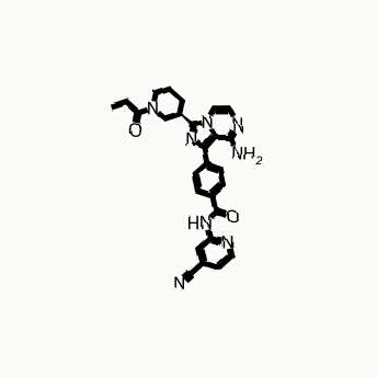 CCC(=O)N1CCC[C@@H](c2nc(-c3ccc(C(=O)Nc4cc(C#N)ccn4)cc3)c3c(N)nccn23)C1